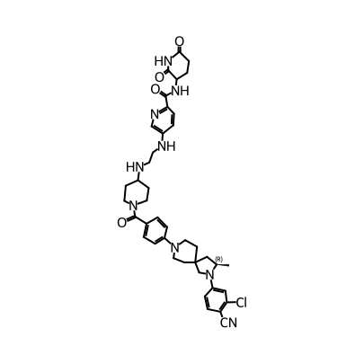 C[C@@H]1CC2(CCN(c3ccc(C(=O)N4CCC(NCCNc5ccc(C(=O)NC6CCC(=O)NC6=O)nc5)CC4)cc3)CC2)CN1c1ccc(C#N)c(Cl)c1